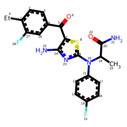 CCc1ccc(C(=O)c2sc(N(c3ccc(F)cc3)C(C)C(N)=O)nc2N)cc1F